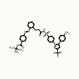 Cc1ccc(-c2cc(C(F)(F)F)nn2-c2ccc(S(=O)(=O)NC(=O)CCc3ccccc3/N=N/c3ccc(C(=O)OC(C)(C)C)cc3)cc2)cc1